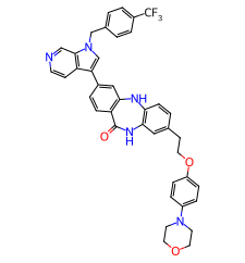 O=C1Nc2cc(CCOc3ccc(N4CCOCC4)cc3)ccc2Nc2cc(-c3cn(Cc4ccc(C(F)(F)F)cc4)c4cnccc34)ccc21